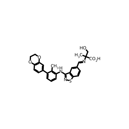 Cc1c(Nc2nsc3ccc(C=NC(C)(CO)C(=O)O)cc23)cccc1-c1ccc2c(c1)OCCO2